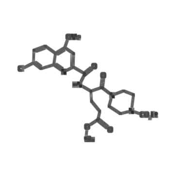 CCOC(=O)N1CCN(C(=O)C(CCC(=O)OC(C)(C)C)NC(=O)c2cc(OC)c3ccc(Cl)cc3n2)CC1